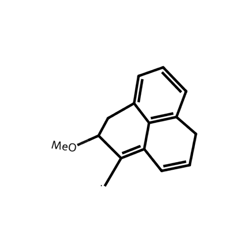 [CH2]C1=C2C=CCc3cccc(c32)CC1OC